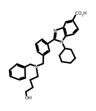 O=C(O)c1ccc2c(c1)nc(-c1cccc(CN(CCCCO)Cc3ccccc3)c1)n2C1CCCCC1